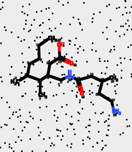 CCCCC(C)C(C)C(CNC(=O)CC(C)CCN)CC(=O)O